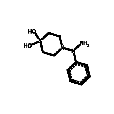 NN(c1ccccc1)N1CCS(O)(O)CC1